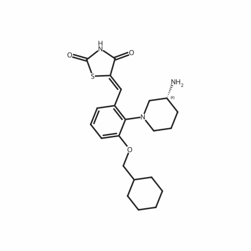 N[C@@H]1CCCN(c2c(C=C3SC(=O)NC3=O)cccc2OCC2CCCCC2)C1